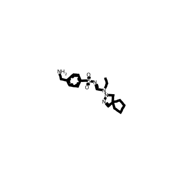 CCN(C=NS(=O)(=O)c1ccc(CN)cc1)N1CC2(C=N1)CCCC2